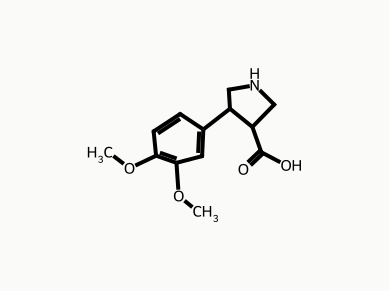 COc1ccc(C2CNCC2C(=O)O)cc1OC